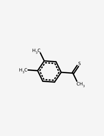 CC(=S)c1ccc(C)c(C)c1